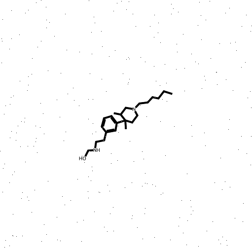 CCCCCCN1CCC(C)(c2cccc(CCNCO)c2)C(C)C1